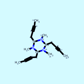 CC#CCB1N(C)B(CC#CC)N(C)B(CC#CC)N1C